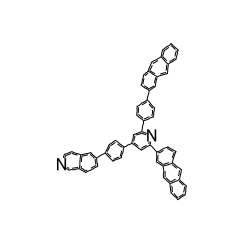 c1ccc2cc3cc(-c4ccc(-c5cc(-c6ccc(-c7ccc8cnccc8c7)cc6)cc(-c6ccc7cc8ccccc8cc7c6)n5)cc4)ccc3cc2c1